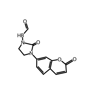 O=CBN1CCN(c2ccc3ccc(=O)oc3c2)C1=O